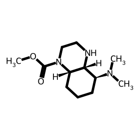 COC(=O)N1CCN[C@@H]2[C@@H](N(C)C)CCC[C@@H]21